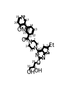 CCc1cc2c(N3CCN(C(=O)c4cccc(-c5cnccc5OC)c4)CC3)nc(OC[C@H](O)CO)nc2s1